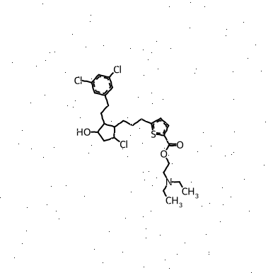 CCN(CC)CCOC(=O)c1ccc(CCCC2C(Cl)CC(O)C2CCc2cc(Cl)cc(Cl)c2)s1